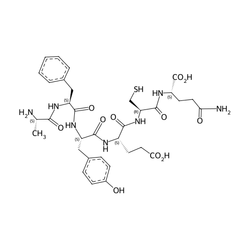 C[C@H](N)C(=O)N[C@@H](Cc1ccccc1)C(=O)N[C@@H](Cc1ccc(O)cc1)C(=O)N[C@@H](CCC(=O)O)C(=O)N[C@@H](CS)C(=O)N[C@@H](CCC(N)=O)C(=O)O